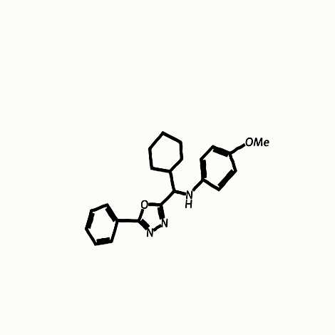 COc1ccc(NC(c2nnc(-c3ccccc3)o2)C2CCCCC2)cc1